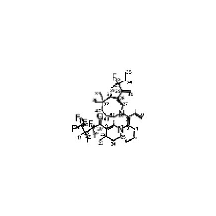 C=C/C(=C(\C=C/C)N1C=C(C(=O)C(F)(F)C(C)(F)C(F)(F)F)C(C)CC1)N1/C=C(/C(=C)C(C)(F)CC)CC(C)(C)CCC1